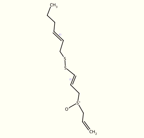 C=CC[S+]([O-])C/C=C/SSC/C=C/CCC